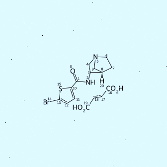 O=C(NC1CN2CC[C@H]1C2)c1ccc(Br)s1.O=C(O)/C=C/C(=O)O